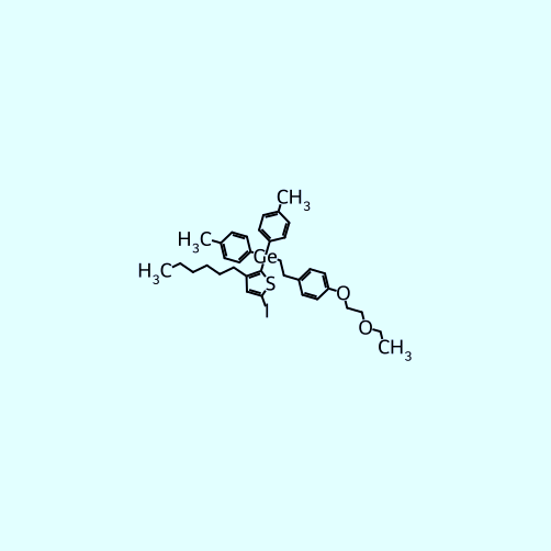 CCCCCCc1cc(I)s[c]1[Ge]([CH2]Cc1ccc(OCCOCC)cc1)([c]1ccc(C)cc1)[c]1ccc(C)cc1